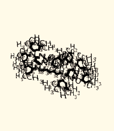 CC1(C)CC(ON2N=C(N(C3CC(C)(C)NC(C)(C)C3)C3CC(C)(C)NC(C)(C)C3)C=C(N(CCCCCCN(C3=CC(N(C4CC(C)(C)NC(C)(C)C4)C4CC(C)(C)NC(C)(C)C4)=NN(OC4CC(C)(C)NC(C)(C)C4)N3)C3CC(C)(C)NC(C)(C)C3)C3CC(C)(C)NC(C)(C)C3)N2)CC(C)(C)N1